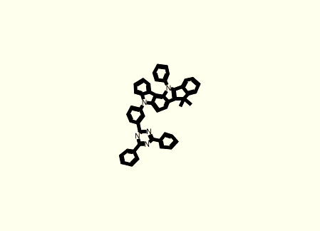 CC1(C)c2ccccc2-c2c1c1ccc3c(c4ccccc4n3-c3cccc(-c4nc(-c5ccccc5)nc(-c5ccccc5)n4)c3)c1n2-c1ccccc1